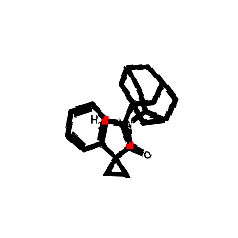 NC(=O)C12CC3CC(C1)C(NC(=O)C1(c4ccccc4)CC1)C(C3)C2